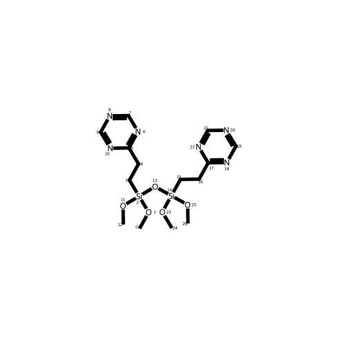 CO[Si](CCc1ncncn1)(OC)O[Si](CCc1ncncn1)(OC)OC